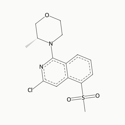 C[C@@H]1COCCN1c1nc(Cl)cc2c(S(C)(=O)=O)cccc12